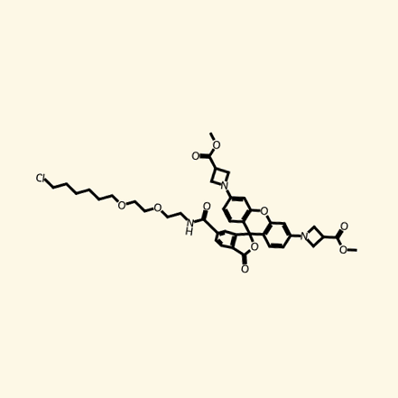 COC(=O)C1CN(c2ccc3c(c2)Oc2cc(N4CC(C(=O)OC)C4)ccc2C32OC(=O)c3ccc(C(=O)NCCOCCOCCCCCCCl)cc32)C1